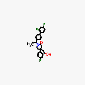 CC[C@@H](c1ccc(-c2ccc(F)cc2F)cc1)N1CCC(CCO)(c2ccc(F)cc2)CC1=O